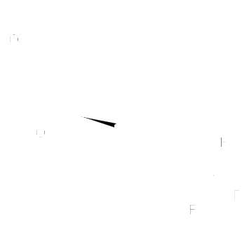 O=C1CO[C@H](c2ccc(C(F)(F)F)cc2)C1